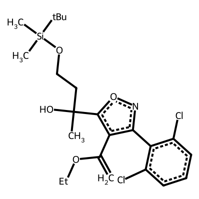 C=C(OCC)c1c(-c2c(Cl)cccc2Cl)noc1C(C)(O)CCO[Si](C)(C)C(C)(C)C